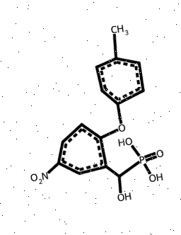 Cc1ccc(Oc2ccc([N+](=O)[O-])cc2C(O)P(=O)(O)O)cc1